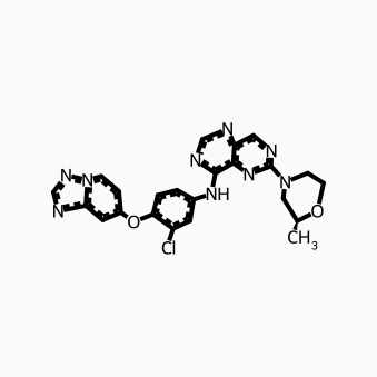 C[C@H]1CN(c2ncc3ncnc(Nc4ccc(Oc5ccn6ncnc6c5)c(Cl)c4)c3n2)CCO1